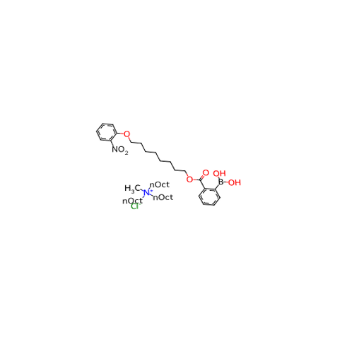 CCCCCCCC[N+](C)(CCCCCCCC)CCCCCCCC.O=C(OCCCCCCCCOc1ccccc1[N+](=O)[O-])c1ccccc1B(O)O.[Cl-]